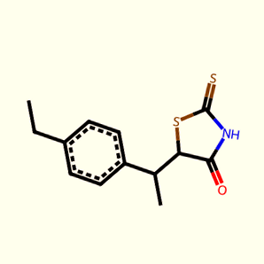 CCc1ccc(C(C)C2SC(=S)NC2=O)cc1